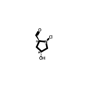 O=C[C@@H]1C[C@@H](O)CN1Cl